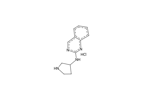 Cl.c1ccc2nc(NC3CCNC3)ncc2c1